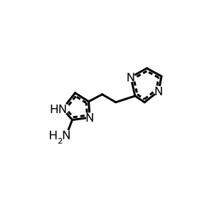 Nc1nc(CCc2cnccn2)c[nH]1